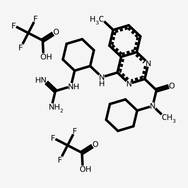 Cc1ccc2nc(C(=O)N(C)C3CCCCC3)nc(NC3CCCCC3NC(=N)N)c2c1.O=C(O)C(F)(F)F.O=C(O)C(F)(F)F